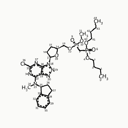 CCCCOP(=O)(CP(=O)(OC)OC[C@@H]1CC[C@H](n2nnc3c(N(C)[C@H]4CCc5ccccc54)nc(Cl)nc32)O1)OCCCC